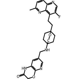 Cc1ccc2ncc(F)c(CCC34CCC(NCc5cnc6c(c5)NC(=O)CO6)(CC3)CO4)c2n1